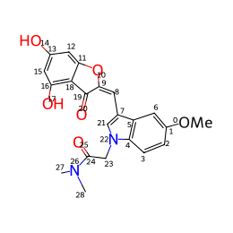 COc1ccc2c(c1)c(C=C1Oc3cc(O)cc(O)c3C1=O)cn2CC(=O)N(C)C